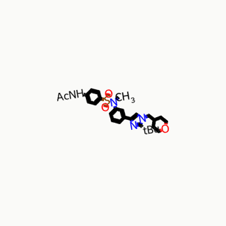 CC(=O)Nc1ccc(S(=O)(=O)N(C)c2cccc(-c3cn(CC4CCOCC4)c(C(C)(C)C)n3)c2)cc1